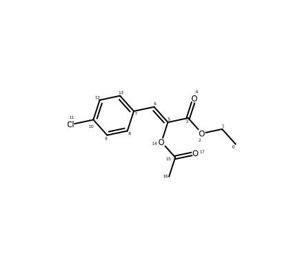 CCOC(=O)C(=Cc1ccc(Cl)cc1)OC(C)=O